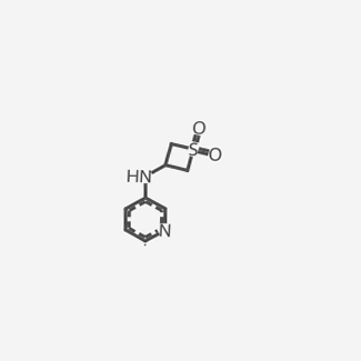 O=S1(=O)CC(Nc2cc[c]nc2)C1